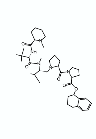 CC(C)[C@@H](CN1CCC[C@H]1C(=O)N1CCCC1C(=O)OC1CCCc2ccccc21)N(C)C(=O)[C@@H](NC(=O)[C@H]1CCCCN1C)C(C)(C)C